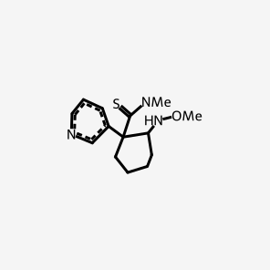 CNC(=S)C1(c2cccnc2)CCCCC1NOC